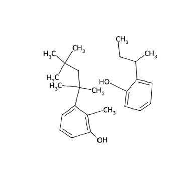 CCC(C)c1ccccc1O.Cc1c(O)cccc1C(C)(C)CC(C)(C)C